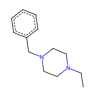 CCN1CCN(Cc2c[c]ccc2)CC1